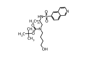 C[C@H](CN(CCCCO)C(=O)OC(C)(C)C)NS(=O)(=O)c1ccc2cnccc2c1